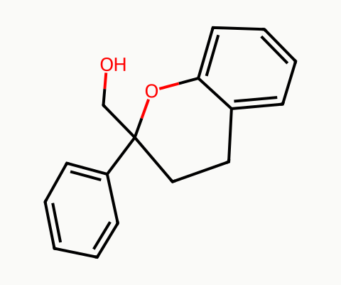 OCC1(c2ccccc2)CCc2ccccc2O1